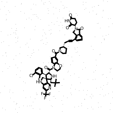 CC(C)(C)C[C@@H]1N[C@@H](C(=O)N2CCOc3cc(C(=O)N4CCC[C@@H](CC#Cc5cccc6c5CN([C@H]5CCC(=O)NC5=O)C6=O)C4)ccc32)[C@H](c2cccc(Cl)c2F)[C@]12CNc1cc(C(F)(F)F)ncc12